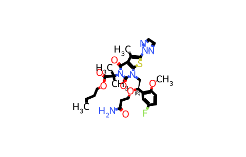 CCCCOC(=O)C(C)(C)n1c(=O)c2c(C)c(-n3nccn3)sc2n(C[C@H](OCCC(N)=O)c2cc(F)ccc2OC)c1=O